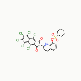 O=C1c2c(c(Cl)c3c(Cl)c(Cl)c(Cl)c(Cl)c3c2Cl)C(=O)C1c1ccc2cccc(OS(=O)(=O)C3CCCCC3)c2n1